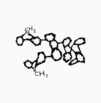 Cn1c2ccccc2c2ccc(-c3cccc4c(-c5cccc6c5-c5ccccc5C65c6ccccc6-c6ccc7ccccc7c65)c5cccc(-c6ccc7c8ccccc8n(C)c7c6)c5cc34)cc21